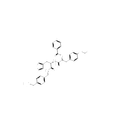 CCOc1ccc(CC(NC(=O)c2ccccc2)C(=O)NC(Cc2ccsc2)C(=O)NCc2ccc(CN)cc2)cc1